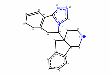 [C]1c2ccccc2C2CNCCC12C1CC2=C(C=CCC2)c2nncn21